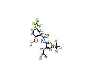 CCOc1ccc(C(F)(F)F)cc1C(=O)/N=c1\sn(C(C)(C)C)cc1CC(C)C